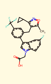 Cc1onc(C2CC2)c1Cc1cc(C(F)(F)F)ccc1-c1cn(CC(=O)O)c2ccc(F)cc12